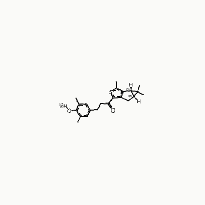 CCC(C)Oc1c(C)cc(CCC(=O)c2sc(C)c3c2C[C@@H]2[C@H]3C2(C)C)cc1C